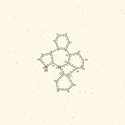 c1ccc2c(c1)-c1cc[nH]c1-n1c3ccccc3c3cccc-2c31